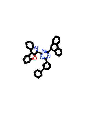 c1ccc(-c2cccc(-c3nc(-c4cc5ccccc5c5ccccc45)nc(-c4nc5ccccc5c5c4oc4ccccc45)n3)c2)cc1